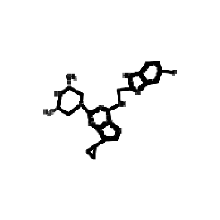 C[C@@H]1CN(c2nc(NCc3nc4cc(F)ccc4[nH]3)n3ncc(C4CC4)c3n2)C[C@H](C)N1